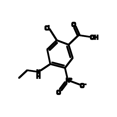 CCNc1cc(Cl)c(C(=O)O)cc1[N+](=O)[O-]